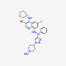 CC(C)(C)N1CCC(n2cc([C@@H](Nc3cc(Cl)cc4c(N[C@H]5CCCOC5)c(C#N)cnc34)c3ccccc3)nn2)CC1